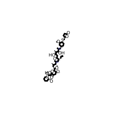 C=CC[C@H](/C=C(\C)C[C@H](C)C[C@H](OC)C1O[C@@](O)(C(=O)C(=O)N2CCCC[C@H]2C=O)[C@H](C)C[C@@H]1OC)C(=O)C[C@H](O)[C@@H](C)[C@H](O)/C(C)=C/[C@@H]1CCC(SC[C@H]2CCC(=O)O2)[C@H](OC)C1